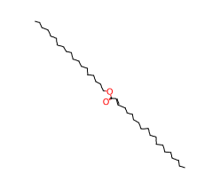 CCCCCCCCCCCCCCCCCC=CC(=O)OCCCCCCCCCCCCCCCCCCC